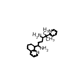 CC(C)(c1ccccn1)C(N)CCC(N)C1CCCc2cccnc21